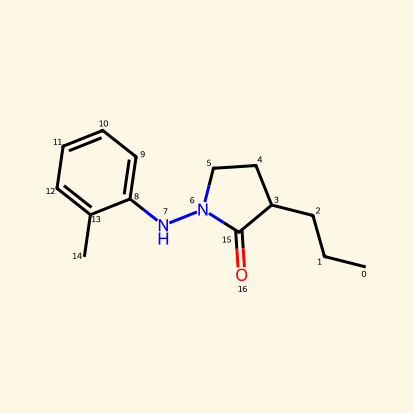 CCCC1CCN(Nc2ccccc2C)C1=O